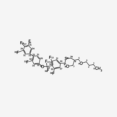 CCCCOCC1COC(c2cc(F)c(C(F)(F)Oc3ccc(-c4cc(F)c(F)c(F)c4)c(F)c3)c(F)c2)SC1